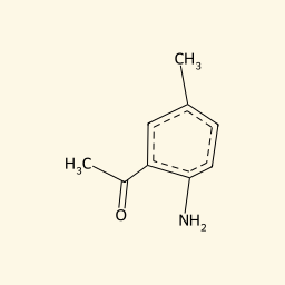 CC(=O)c1cc(C)ccc1N